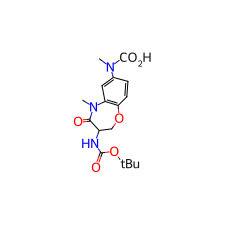 CN(C(=O)O)c1ccc2c(c1)N(C)C(=O)C(NC(=O)OC(C)(C)C)CO2